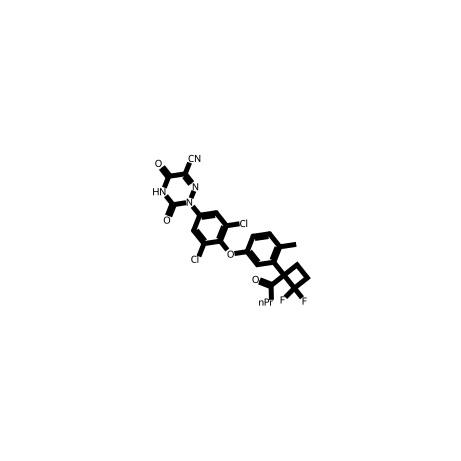 CCCC(=O)C1(c2cc(Oc3c(Cl)cc(-n4nc(C#N)c(=O)[nH]c4=O)cc3Cl)ccc2C)CCC1(F)F